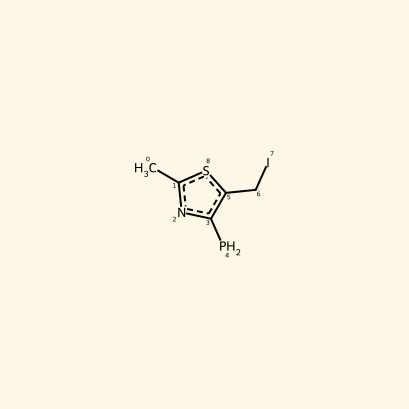 Cc1nc(P)c(CI)s1